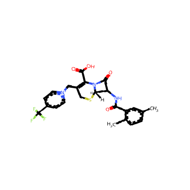 Cc1ccc(C)c(C(=O)NC2C(=O)N3C(C(=O)O)=C(C[n+]4ccc(C(F)(F)F)cc4)CS[C@@H]23)c1